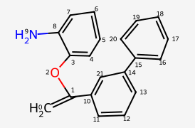 C=C(Oc1ccccc1N)c1cccc(-c2ccccc2)c1